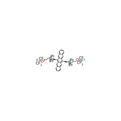 CC(C)[Si](C#Cc1c2cc3ccccc3cc2c(C#C[Si](CCCOC(F)(C(F)(F)F)C(F)(F)F)(C(C)C)C(C)C)c2cc3ccccc3cc12)(CCCOC(F)(C(F)(F)F)C(F)(F)F)C(C)C